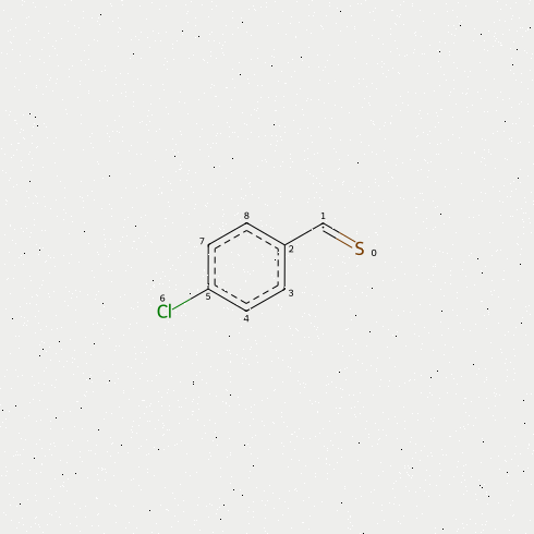 S=[C]c1ccc(Cl)cc1